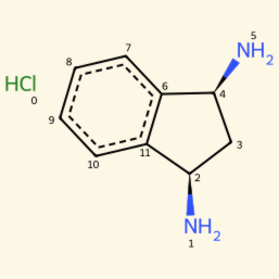 Cl.N[C@@H]1C[C@H](N)c2ccccc21